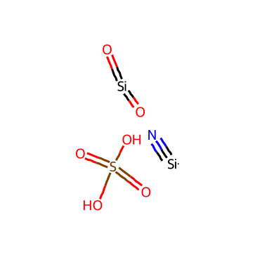 N#[Si].O=S(=O)(O)O.O=[Si]=O